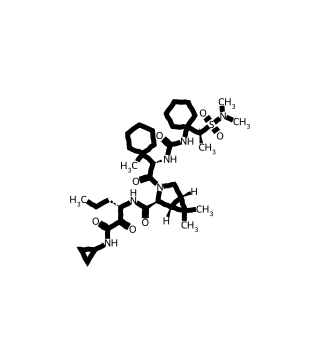 CCC[C@H](NC(=O)[C@@H]1[C@@H]2[C@H](CN1C(=O)[C@@H](NC(=O)NC1([C@H](C)S(=O)(=O)N(C)C)CCCCC1)C1(C)CCCCC1)C2(C)C)C(=O)C(=O)NC1CC1